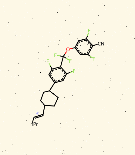 CCC/C=C/C1CCC(c2cc(F)c(C(F)(F)Oc3cc(F)c(C#N)c(F)c3)c(F)c2)CC1